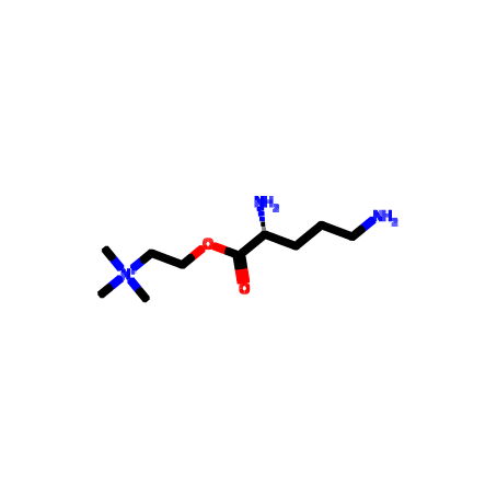 C[N+](C)(C)CCOC(=O)[C@H](N)CCCN